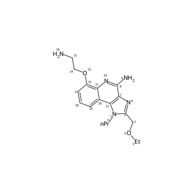 CCCn1c(COCC)nc2c(N)nc3c(OCCN)cccc3c21